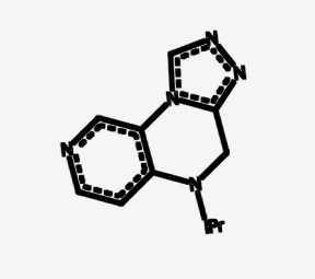 CC(C)N1Cc2nncn2-c2cnccc21